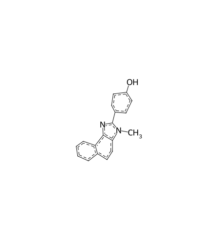 Cn1c(-c2ccc(O)cc2)nc2c3ccccc3ccc21